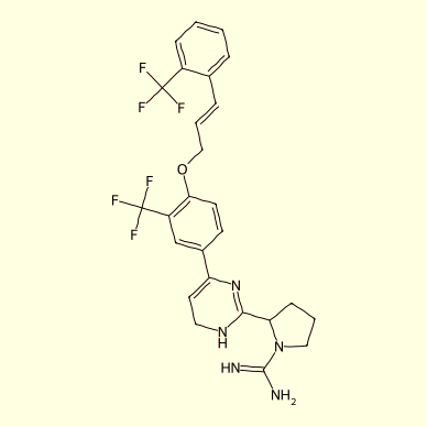 N=C(N)N1CCCC1C1=NC(c2ccc(OC/C=C/c3ccccc3C(F)(F)F)c(C(F)(F)F)c2)=CCN1